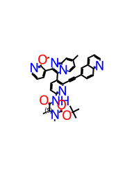 COc1ncccc1-c1nc2cc(C)ccn2c1-c1ccc(NC(=O)[C@H](C)N(C)C(=O)OC(C)(C)C)nc1C#Cc1ccc2ncccc2c1